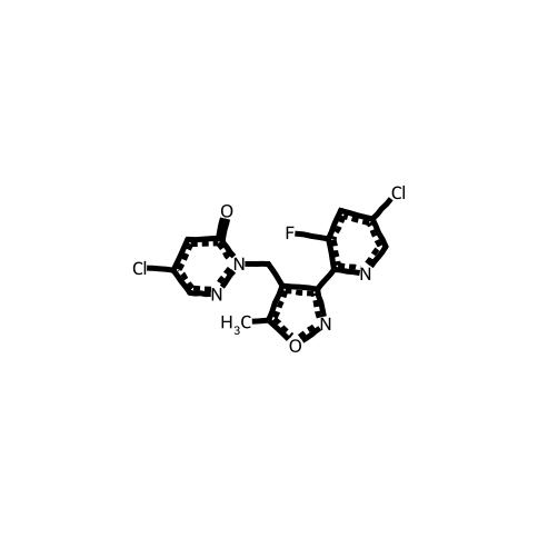 Cc1onc(-c2ncc(Cl)cc2F)c1Cn1ncc(Cl)cc1=O